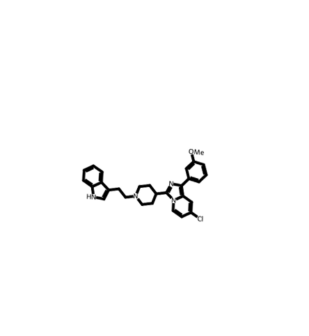 COc1cccc(-c2nc(C3CCN(CCc4c[nH]c5ccccc45)CC3)n3ccc(Cl)cc23)c1